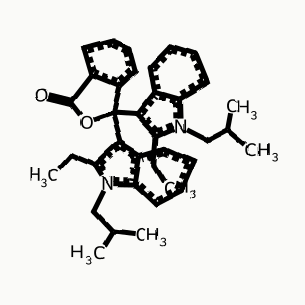 CCc1c(C2(c3c(CC)n(CC(C)C)c4ccccc34)OC(=O)c3ccccc32)c2ccccc2n1CC(C)C